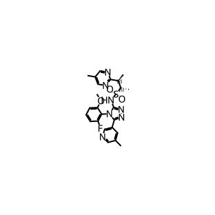 COc1cccc(F)c1-n1c(NS(=O)(=O)[C@@H](C)[C@H](C)c2ncc(C)cn2)nnc1-c1cncc(C)c1